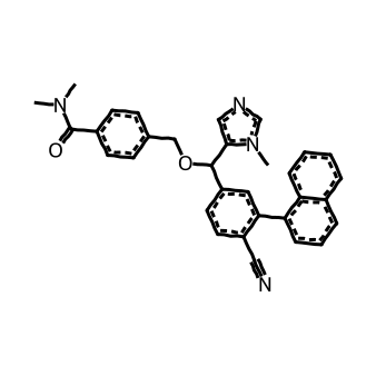 CN(C)C(=O)c1ccc(COC(c2ccc(C#N)c(-c3cccc4ccccc34)c2)c2cncn2C)cc1